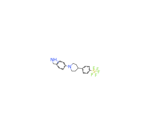 NCc1ccc(N2CCC(c3ccc(S(F)(F)(F)(F)F)cc3)CC2)cc1